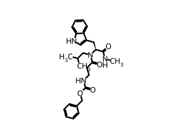 CNC(=O)[C@H](Cc1c[nH]c2ccccc12)N(CC(C)C)C(=O)CCNC(=O)OCc1ccccc1